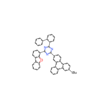 CC(C)(C)c1ccc2c3ccc(-c4nc(-c5ccccc5-c5ccccc5)nc(-c5cccc6c5oc5ccccc56)n4)cc3c3ccccc3c2c1